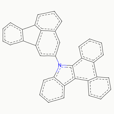 c1ccc2c(c1)-c1cccc3cc(-n4c5ccccc5c5c6ccccc6c6ccccc6c54)cc-2c13